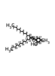 CCCCCCCCCCCC(CCCCCCCCCCC)=NOc1ccc(C)cc1O